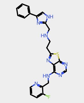 Fc1cccnc1CNc1ncnc2sc(CCNCc3nc(-c4ccccc4)c[nH]3)nc12